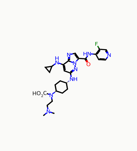 CN(C)CCN(C(=O)O)[C@H]1CC[C@H](Nc2cc(NC3CC3)c3ncc(C(=O)Nc4ccncc4F)n3n2)CC1